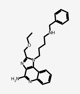 CCOCc1nc2c(N)nc3ccccc3c2n1CCCCNCc1ccccc1